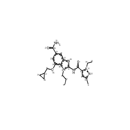 CCCn1c(NC(=O)c2cc(C)nn2CC)nc2cc(C(N)=O)cc(OCC3CC3)c21